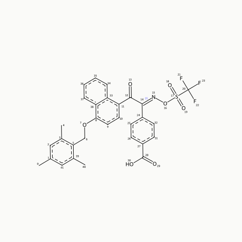 Cc1cc(C)c(COc2ccc(C(=O)/C(=N/OS(=O)(=O)C(F)(F)F)c3ccc(C(=O)O)cc3)c3ccccc23)c(C)c1